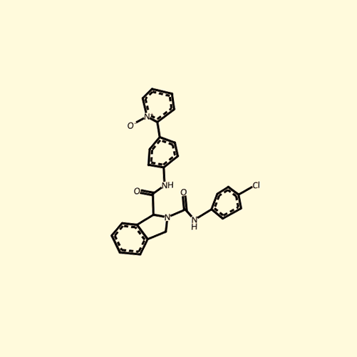 O=C(Nc1ccc(-c2cccc[n+]2[O-])cc1)C1c2ccccc2CN1C(=O)Nc1ccc(Cl)cc1